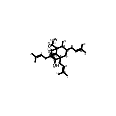 CC(C)=CCC1=C(O)C2(CC=C(C)C)CC(CC=C(C)C)C(C)C(C(=O)C(C)C)(C1=O)C2=O